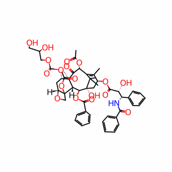 CC(=O)O[C@H]1C(=O)[C@]2(C)[C@@H](OC(=O)OCC(O)CO)C[C@H]3OC[C@@]3(OC(C)=O)[C@H]2[C@H](OC(=O)c2ccccc2)[C@]2(O)C[C@H](OC(=O)[C@H](O)[C@@H](NC(=O)c3ccccc3)c3ccccc3)C(C)=C1C2(C)C